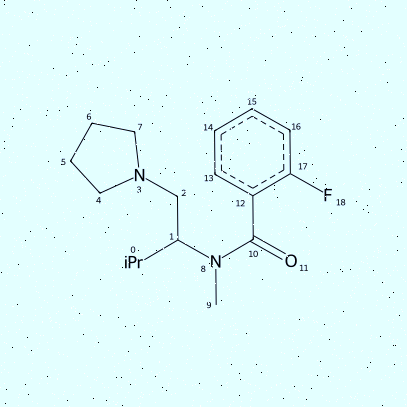 CC(C)C(CN1CCCC1)N(C)C(=O)c1ccccc1F